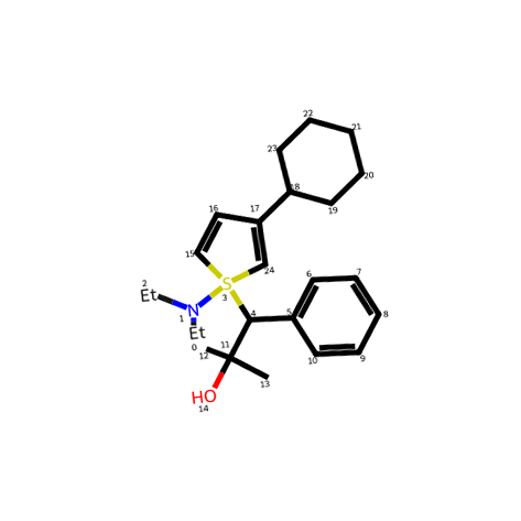 CCN(CC)S1(C(c2ccccc2)C(C)(C)O)C=CC(C2CCCCC2)=C1